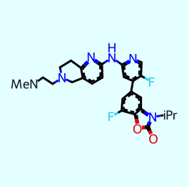 CNCCN1CCc2nc(Nc3cc(-c4cc(F)c5oc(=O)n(C(C)C)c5c4)c(F)cn3)ccc2C1